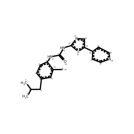 CC(C)Cc1ccc(NC(=O)Nc2ncc(-c3ccncc3)s2)c(F)c1